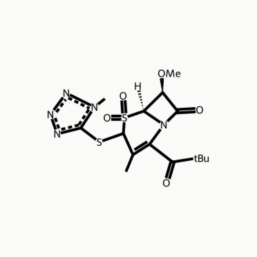 CO[C@H]1C(=O)N2C(C(=O)C(C)(C)C)=C(C)C(Sc3nnnn3C)S(=O)(=O)[C@@H]12